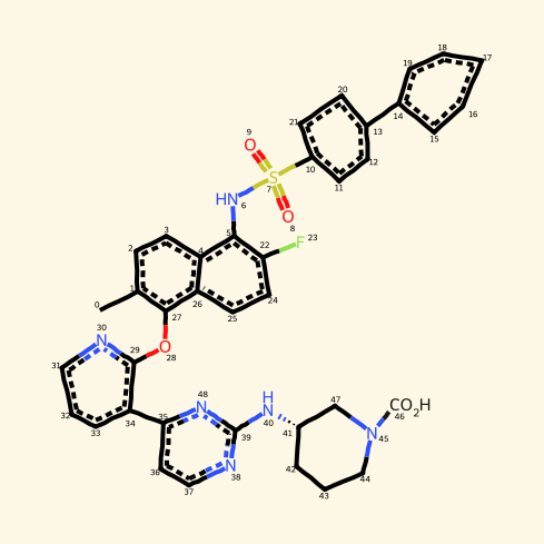 Cc1ccc2c(NS(=O)(=O)c3ccc(-c4ccccc4)cc3)c(F)ccc2c1Oc1ncccc1-c1ccnc(N[C@H]2CCCN(C(=O)O)C2)n1